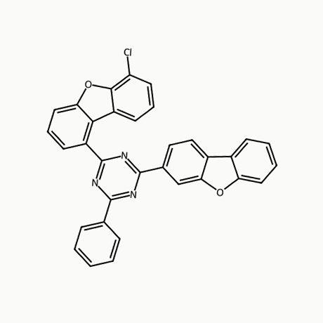 Clc1cccc2c1oc1cccc(-c3nc(-c4ccccc4)nc(-c4ccc5c(c4)oc4ccccc45)n3)c12